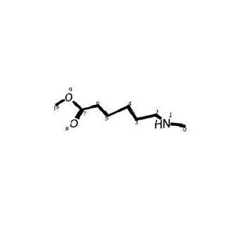 CNCCCCCC(=O)OC